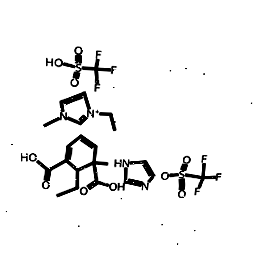 CCC1C(C(=O)O)=CC=CC1(C)C(=O)O.CC[n+]1ccn(C)c1.O=S(=O)(O)C(F)(F)F.O=S(=O)([O-])C(F)(F)F.c1c[nH]cn1